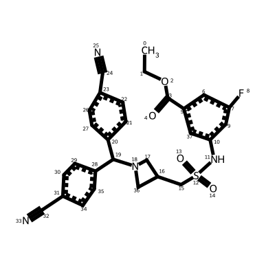 CCOC(=O)c1cc(F)cc(NS(=O)(=O)CC2CN(C(c3ccc(C#N)cc3)c3ccc(C#N)cc3)C2)c1